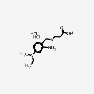 CCN(C)c1ccc(CSCCC(=O)O)c(N)c1.Cl.Cl